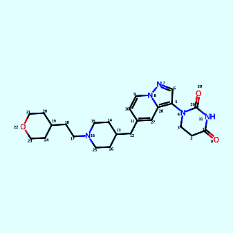 O=C1CCN(c2cnn3ccc(CC4CCN(CCC5CCOCC5)CC4)cc23)C(=O)N1